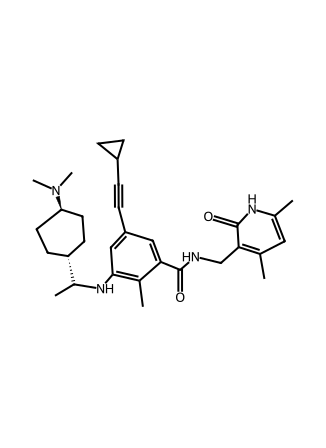 Cc1cc(C)c(CNC(=O)c2cc(C#CC3CC3)cc(NC(C)[C@H]3CC[C@H](N(C)C)CC3)c2C)c(=O)[nH]1